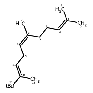 CC(C)=CCCC(C)=CCC=C(C)C(C)(C)C